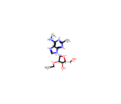 CCO[C@@H]1[C@H](O)[C@@H](CO)O[C@H]1n1cnc2c(NC)nc(C)nc21